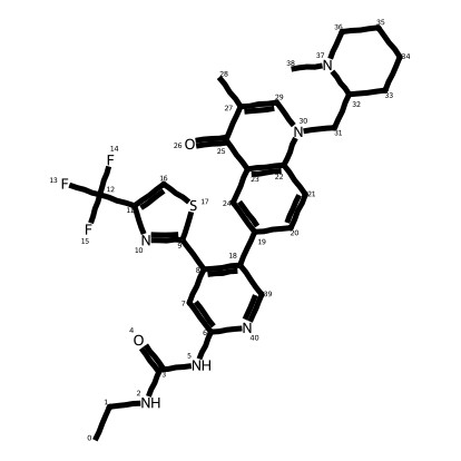 CCNC(=O)Nc1cc(-c2nc(C(F)(F)F)cs2)c(-c2ccc3c(c2)c(=O)c(C)cn3CC2CCCCN2C)cn1